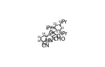 CC(C)c1cc(C(C)C)c(S(=O)(=O)[C@@]([NH])(C=O)Cc2cccc(C#N)c2)c(C(C)C)c1